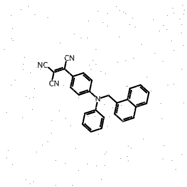 N#CC(C#N)=C(C#N)c1ccc(N(Cc2cccc3ccccc23)c2ccccc2)cc1